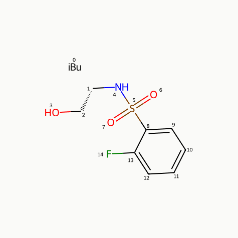 CC[C@H](C)[C@@H](CO)NS(=O)(=O)c1ccccc1F